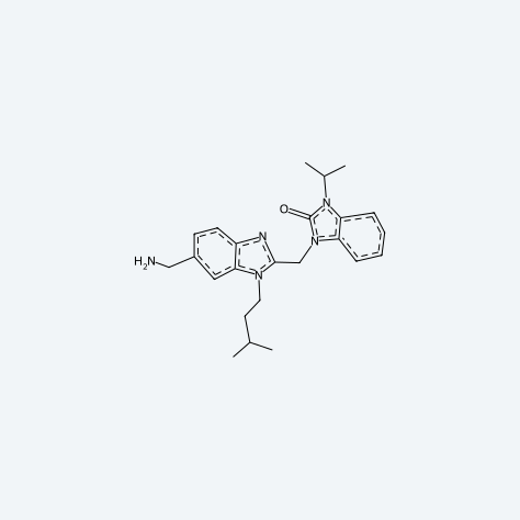 CC(C)CCn1c(Cn2c(=O)n(C(C)C)c3ccccc32)nc2ccc(CN)cc21